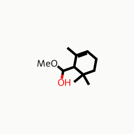 COC(O)C1C(C)=CCCC1(C)C